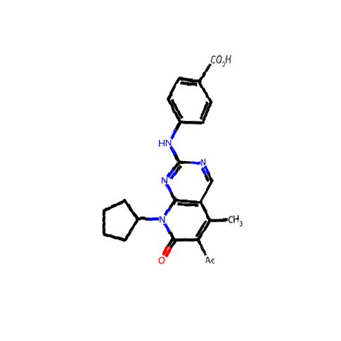 CC(=O)c1c(C)c2cnc(Nc3ccc(C(=O)O)cc3)nc2n(C2CCCC2)c1=O